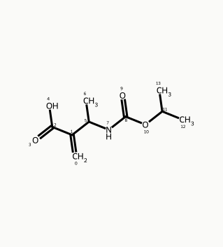 C=C(C(=O)O)C(C)NC(=O)OC(C)C